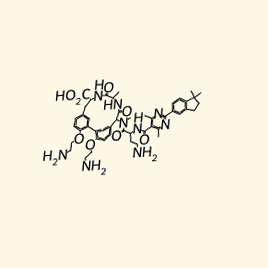 Cc1nc(-c2ccc3c(c2)CCC3(C)C)nc(C)c1C(=O)NC(CCN)C(=O)N(C)C1C(=O)NC(C)C(=O)NC(C(=O)O)Cc2ccc(OCCN)c(c2)-c2cc1ccc2OCCN